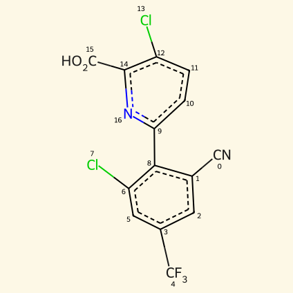 N#Cc1cc(C(F)(F)F)cc(Cl)c1-c1ccc(Cl)c(C(=O)O)n1